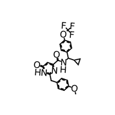 COc1ccc(Cc2nc(C(=O)NC(c3ccc(OC(F)(F)F)cc3)C3CC3)cc(=O)[nH]2)cc1